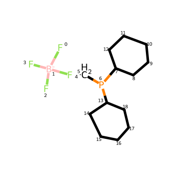 F[B-](F)(F)F.[CH2]P(C1CCCCC1)C1CCCCC1